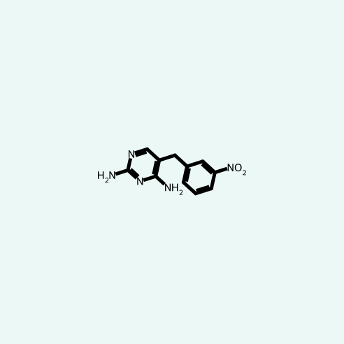 Nc1ncc(Cc2cccc([N+](=O)[O-])c2)c(N)n1